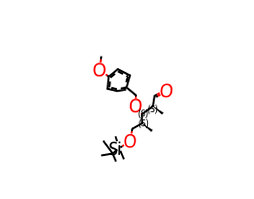 COc1ccc(CO[C@H]([C@H](C)C=O)[C@@H](C)CO[Si](C)(C)C(C)(C)C)cc1